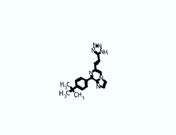 CC(C)(C)c1ccc(-c2nc(C=Cc3nnn[nH]3)cn3ccnc23)cc1